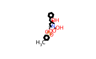 Cc1ccc(S(=O)(=O)OC[C@H]2CC(O)(Cc3ccccc3)CN2C(=O)O)cc1